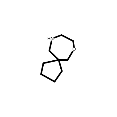 C1CCC2(C1)CNCCOC2